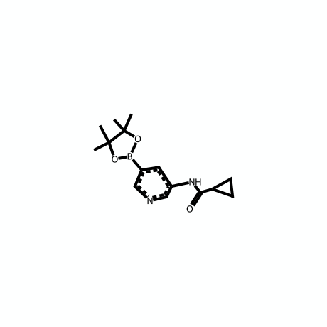 CC1(C)OB(c2cncc(NC(=O)C3CC3)c2)OC1(C)C